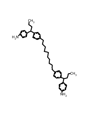 CCCC(c1ccc(N)cc1)c1ccc(CCCCCCCCCCc2ccc(C(CCC)c3ccc(N)cc3)cc2)cc1